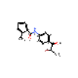 Cc1ccccc1C(=O)Nc1ccc(C(=O)C(C)Br)cc1